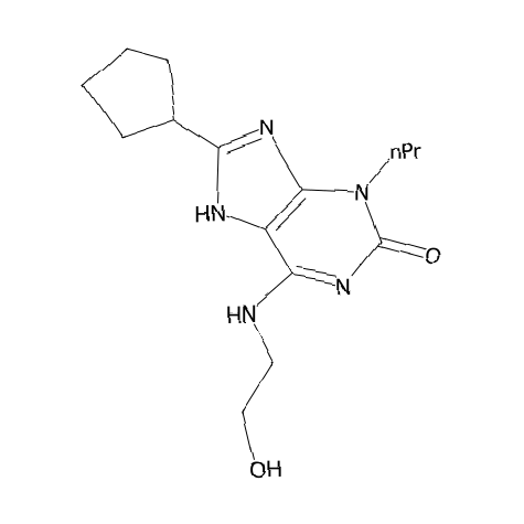 CCCn1c(=O)nc(NCCO)c2[nH]c(C3CCCC3)nc21